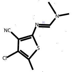 Cc1sc(/N=C/N(C)C)c(C#N)c1Cl